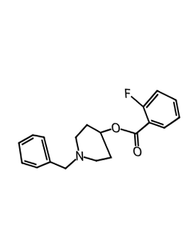 O=C(OC1CCN(Cc2ccccc2)CC1)c1ccccc1F